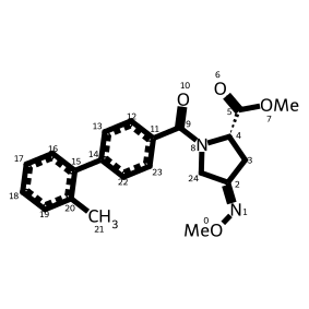 CO/N=C1/C[C@@H](C(=O)OC)N(C(=O)c2ccc(-c3ccccc3C)cc2)C1